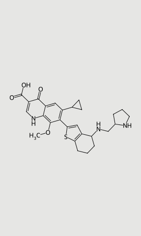 COc1c(-c2cc3c(s2)CCCC3NCC2CCCN2)c(C2CC2)cc2c(=O)c(C(=O)O)c[nH]c12